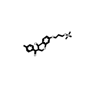 Cc1ccc(C(=O)C2COc3cc(OCCCO[Si](C)(C)C)ccc3C2Cl)cc1